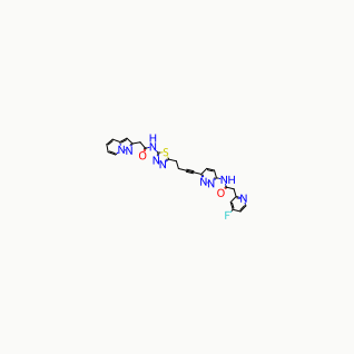 O=C(Cc1cc(F)ccn1)Nc1ccc(C#CCCc2nnc(NC(=O)Cc3cc4ccccn4n3)s2)nn1